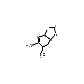 NC1=CC2OCOC2CC1N=O